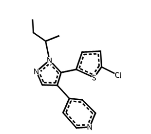 CCC(C)n1ncc(-c2ccncc2)c1-c1ccc(Cl)s1